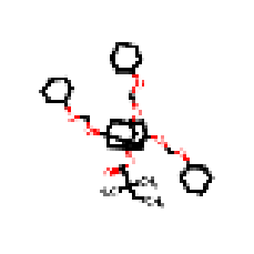 CCC(C)(C)C(=O)OC12CC3(OCOC4CCCCC4)CC(OCOC4CCCCC4)(CC(OCOC4CCCCC4)(C3)C1)C2